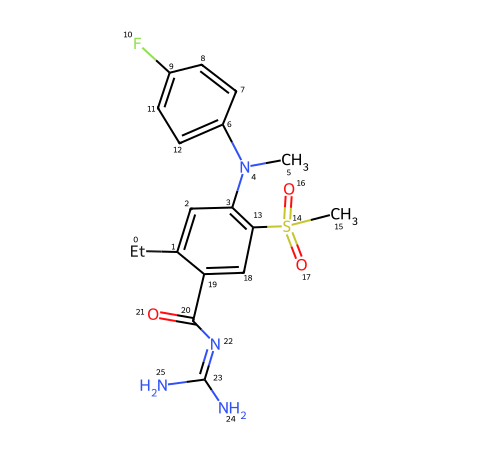 CCc1cc(N(C)c2ccc(F)cc2)c(S(C)(=O)=O)cc1C(=O)N=C(N)N